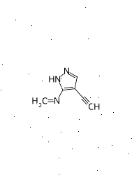 C#Cc1cn[nH]c1N=C